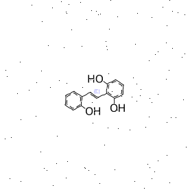 Oc1ccccc1/C=C/c1c(O)cccc1O